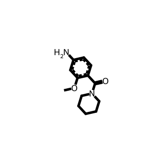 COc1cc(N)ccc1C(=O)N1CCCCC1